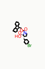 O=C(O)[C@H]1[C@@H](Cc2ccc(Br)cc2)CCN1C(=O)OCC1c2ccccc2-c2ccccc21